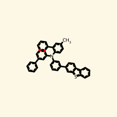 Cc1ccc(N(c2cccc(-c3ccccc3)c2)c2cccc(-c3ccc4c(c3)sc3ccccc34)c2)c(-c2ccccc2)c1